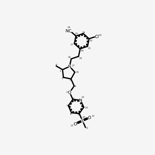 CC1CC(COc2ccc(S(C)(=O)=O)cn2)CN1CCc1cc(Cl)cc(C#N)c1